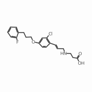 O=C(O)CCNCC=Cc1ccc(OCCCc2ccccc2F)cc1Cl